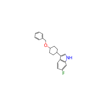 Fc1ccc2c(C3CCC(OCc4ccccc4)CC3)c[nH]c2c1